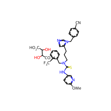 COc1ccc(NC(=S)N(CCCc2cncn2Cc2ccc(C#N)cc2)Cc2ccccc2C(F)(F)F)cn1.O=C(O)C(O)C(O)C(=O)O